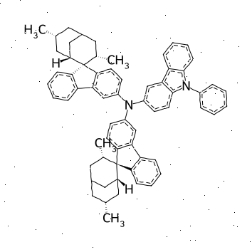 C[C@@H]1CC2C[C@@H](C1)[C@@]1(c3ccccc3-c3cc(N(c4ccc5c(c4)-c4ccccc4[C@]54[C@H]5CC(C[C@@H](C)C5)C[C@@H]4C)c4ccc5c(c4)c4ccccc4n5-c4ccccc4)ccc31)[C@@H](C)C2